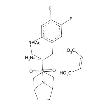 CC(=O)NCCS(=O)(=O)N1C2CCC1CC([C@H](N)Cc1cc(F)c(F)cc1F)C2.O=C(O)/C=C\C(=O)O